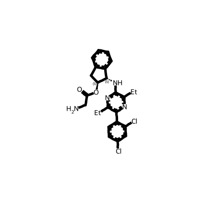 CCc1nc(-c2ccc(Cl)cc2Cl)c(CC)nc1N[C@H]1c2ccccc2C[C@@H]1OC(=O)CN